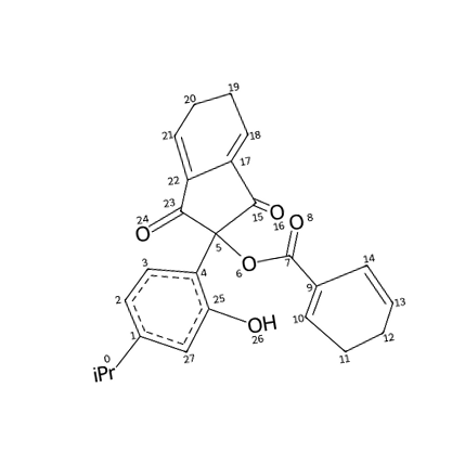 CC(C)c1ccc(C2(OC(=O)C3=CCCC=C3)C(=O)C3=CCCC=C3C2=O)c(O)c1